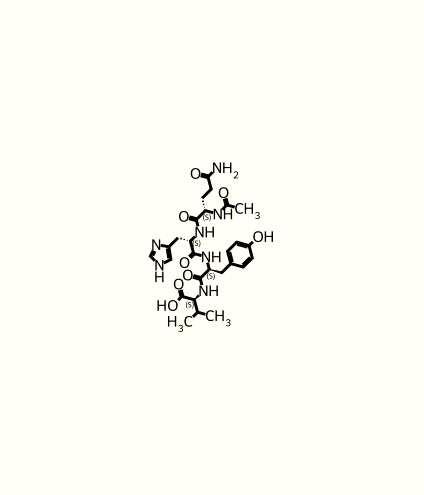 CC(=O)N[C@@H](CCC(N)=O)C(=O)N[C@@H](Cc1c[nH]cn1)C(=O)N[C@@H](Cc1ccc(O)cc1)C(=O)N[C@H](C(=O)O)C(C)C